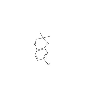 CC(=O)c1ccc2c(c1)OC(C)(C)CO2